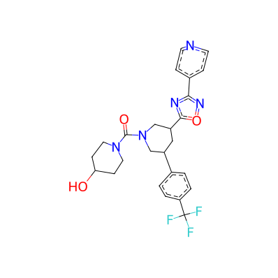 O=C(N1CCC(O)CC1)N1CC(c2ccc(C(F)(F)F)cc2)CC(c2nc(-c3ccncc3)no2)C1